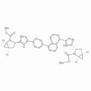 CC(C)(C)OC(=O)N1[C@@H](c2ncc(-c3ccc(-c4cccc5c(-c6cnc([C@@H]7C[C@H]8C[C@H]8N7C(=O)OC(C)(C)C)[nH]6)cccc45)cc3)[nH]2)C[C@H]2C[C@H]21